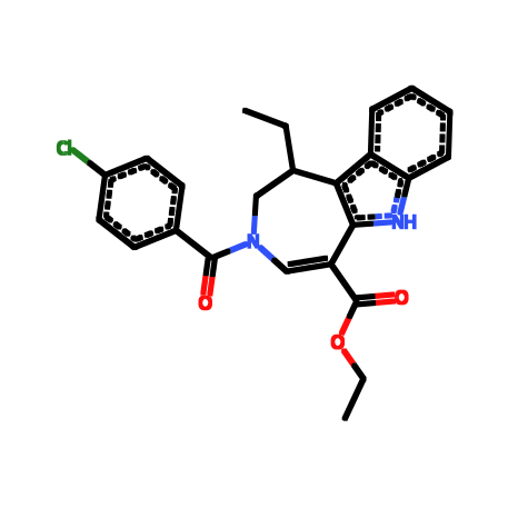 CCOC(=O)C1=CN(C(=O)c2ccc(Cl)cc2)CC(CC)c2c1[nH]c1ccccc21